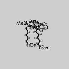 CCCCCCCCCCCCCCC[Si](OC)(OC)OC.CCCCCCCCCCCCCCC[Si](OCC)(OCC)OCC